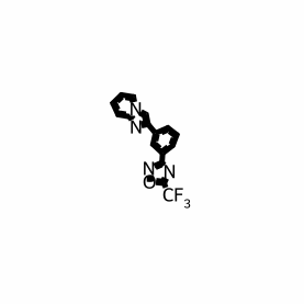 FC(F)(F)c1nc(-c2cccc(-c3cn4ccccc4n3)c2)no1